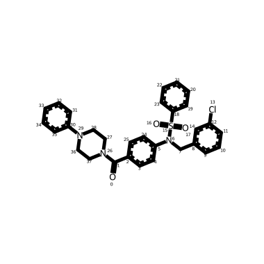 O=C(c1ccc(N(Cc2cccc(Cl)c2)S(=O)(=O)c2ccccc2)cc1)N1CCN(c2ccccc2)CC1